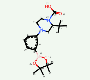 CC(C)(C)C1CN(c2cccc(B3OC(C)(C)C(C)(C)O3)c2)CCN1C(=O)O